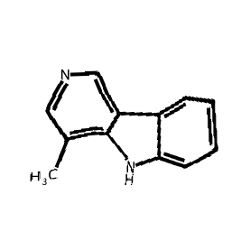 Cc1cncc2c1[nH]c1ccccc12